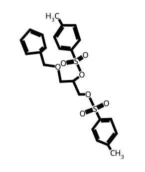 Cc1ccc(S(=O)(=O)OCC(COCc2ccccc2)OS(=O)(=O)c2ccc(C)cc2)cc1